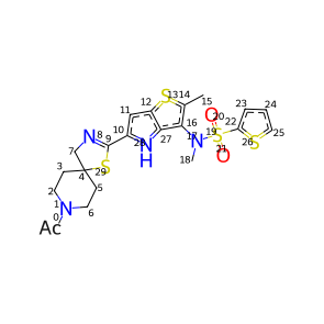 CC(=O)N1CCC2(CC1)CN=C(c1cc3sc(C)c(N(C)S(=O)(=O)c4cccs4)c3[nH]1)S2